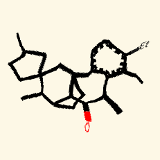 C=C1C(=O)C2C3CCC2(CC2(CCC(C)C2)C3C)c2ccc(CC)c(C)c21